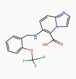 O=C(O)c1c(NCc2ccccc2OC(F)(F)F)ccc2nccn12